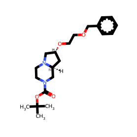 CC(C)(C)OC(=O)N1CCN2C[C@H](OCCOCc3ccccc3)C[C@H]2C1